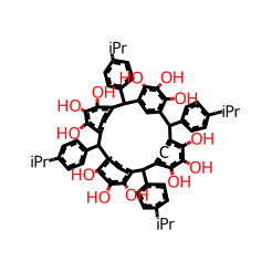 CC(C)c1ccc(C2c3cc(c(O)c(O)c3O)C(c3ccc(C(C)C)cc3)c3cc(c(O)c(O)c3O)C(c3ccc(C(C)C)cc3)c3cc(c(O)c(O)c3O)C(c3ccc(C(C)C)cc3)c3cc2c(O)c(O)c3O)cc1